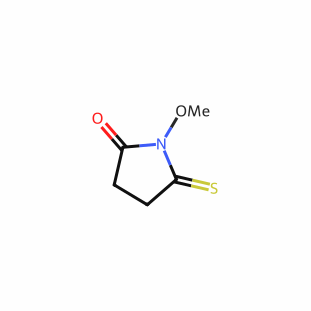 CON1C(=O)CCC1=S